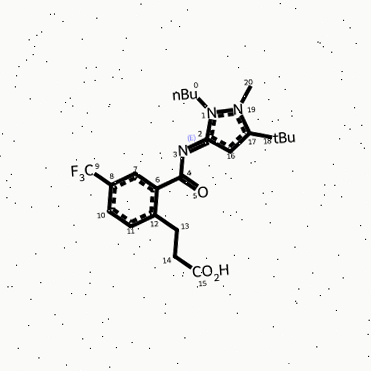 CCCCn1/c(=N/C(=O)c2cc(C(F)(F)F)ccc2CCC(=O)O)cc(C(C)(C)C)n1C